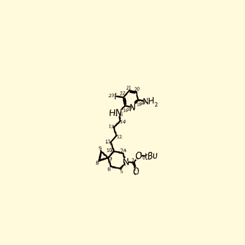 CC(C)(C)OC(=O)N1CCC2(CC2)C(CCCCNc2nc(N)ccc2I)C1